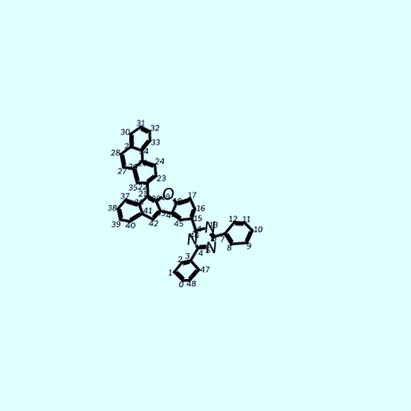 c1ccc(-c2nc(-c3ccccc3)nc(-c3ccc4oc5c(-c6ccc7c(ccc8ccccc87)c6)c6ccccc6cc5c4c3)n2)cc1